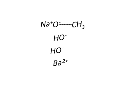 C[O-].[Ba+2].[Na+].[OH-].[OH-]